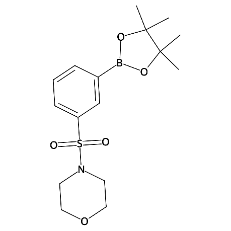 CC1(C)OB(c2cccc(S(=O)(=O)N3CCOCC3)c2)OC1(C)C